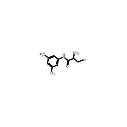 CC(C)CC(N)C(=O)Nc1cc(C(F)(F)F)cc(C(F)(F)F)c1